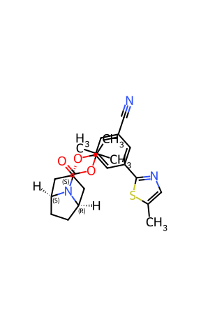 Cc1cnc(-c2cc(C#N)cc(O[C@@H]3C[C@H]4CC[C@@H](C3)N4C(=O)OC(C)(C)C)c2)s1